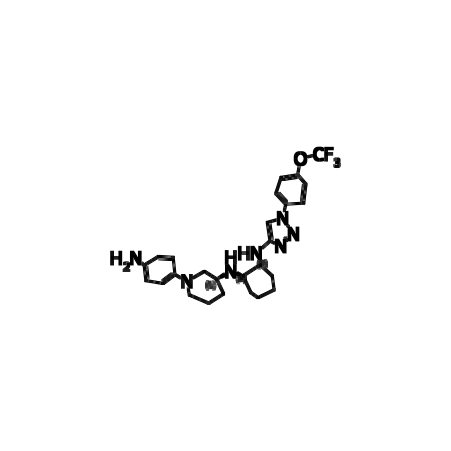 Nc1ccc(N2CCC[C@H](N[C@@H]3CCCC[C@H]3Nc3cn(-c4ccc(OC(F)(F)F)cc4)nn3)C2)cc1